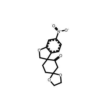 O=C1CC2(CCC13COc1cc([N+](=O)[O-])ccc13)OCCO2